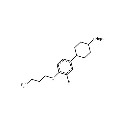 CCCCCCCC1CCC(c2ccc(OCCCC(F)(F)F)c(F)c2)CC1